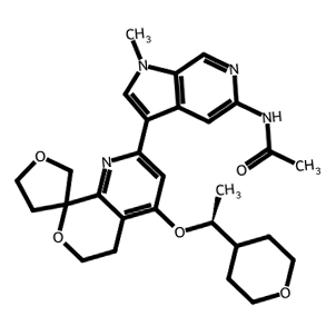 CC(=O)Nc1cc2c(-c3cc(O[C@@H](C)C4CCOCC4)c4c(n3)C3(CCOC3)OCC4)cn(C)c2cn1